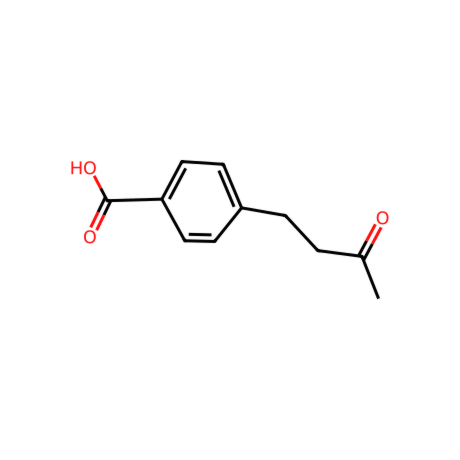 CC(=O)CCc1ccc(C(=O)O)cc1